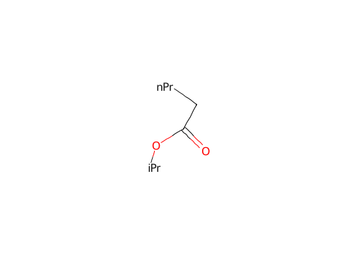 C[CH]CCC(=O)OC(C)C